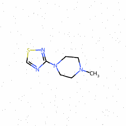 CN1CCN(c2ncsn2)CC1